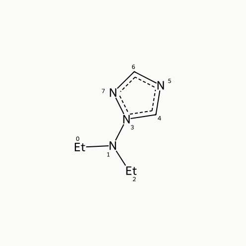 CCN(CC)n1cncn1